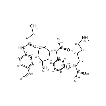 CCCC(=O)Nc1ccc(C=O)cc1.NC1CCCCC1.NCCCCC(N)C(=O)O.O=C(O)Cc1ccccc1